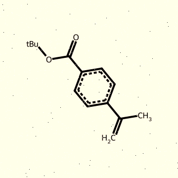 C=C(C)c1ccc(C(=O)OC(C)(C)C)cc1